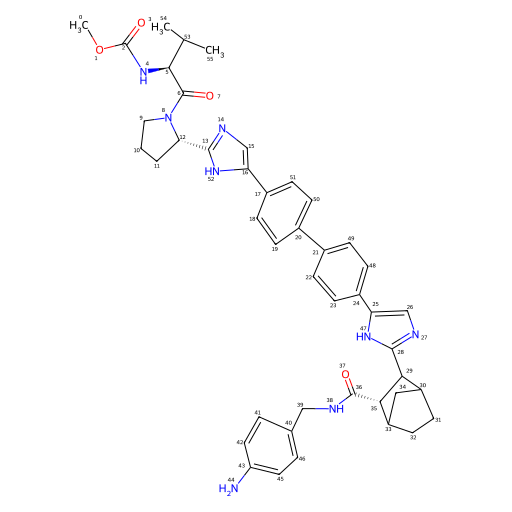 COC(=O)N[C@H](C(=O)N1CCC[C@H]1c1ncc(-c2ccc(-c3ccc(-c4cnc(C5C6CCC(C6)[C@@H]5C(=O)NCc5ccc(N)cc5)[nH]4)cc3)cc2)[nH]1)C(C)C